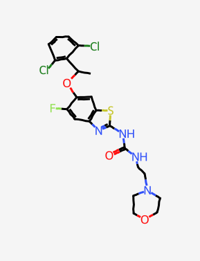 CC(Oc1cc2sc(NC(=O)NCCN3CCOCC3)nc2cc1F)c1c(Cl)cccc1Cl